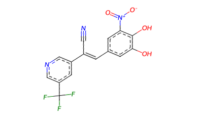 N#CC(=Cc1cc(O)c(O)c([N+](=O)[O-])c1)c1cncc(C(F)(F)F)c1